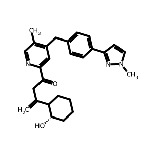 C=C(CC(=O)c1cc(Cc2ccc(-c3ccn(C)n3)cc2)c(C)cn1)C1CCCC[C@@H]1O